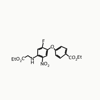 CCOC(=O)CNc1cc(F)c(Oc2ccc(C(=O)OCC)cc2)cc1[N+](=O)[O-]